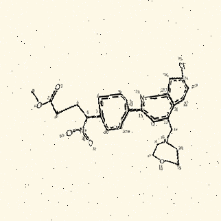 COC(=O)CCC(c1ccc(-c2cc(CN3CCOCC3)c3ccc(Cl)cc3n2)cc1)[N+](=O)[O-]